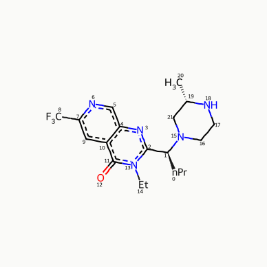 CCC[C@@H](c1nc2cnc(C(F)(F)F)cc2c(=O)n1CC)N1CCN[C@@H](C)C1